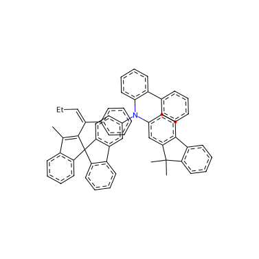 CC/C=C(\C1=C(C)c2ccccc2C12c1ccccc1-c1cc(N(c3ccc4c(c3)C(C)(C)c3ccccc3-4)c3ccccc3-c3ccccc3)ccc12)c1ccccc1